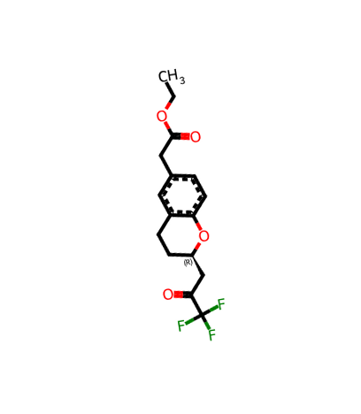 CCOC(=O)Cc1ccc2c(c1)CC[C@H](CC(=O)C(F)(F)F)O2